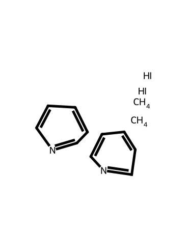 C.C.I.I.c1ccncc1.c1ccncc1